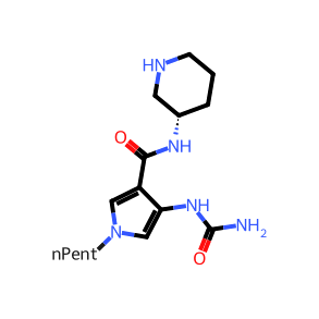 CCCCCn1cc(NC(N)=O)c(C(=O)N[C@H]2CCCNC2)c1